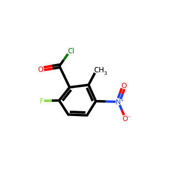 Cc1c([N+](=O)[O-])ccc(F)c1C(=O)Cl